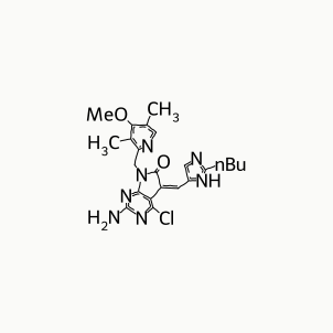 CCCCc1ncc(C=C2C(=O)N(Cc3ncc(C)c(OC)c3C)c3nc(N)nc(Cl)c32)[nH]1